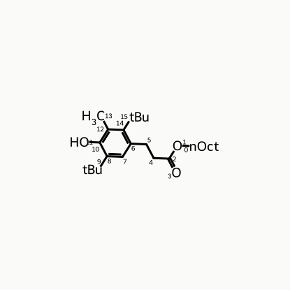 CCCCCCCCOC(=O)CCc1cc(C(C)(C)C)c(O)c(C)c1C(C)(C)C